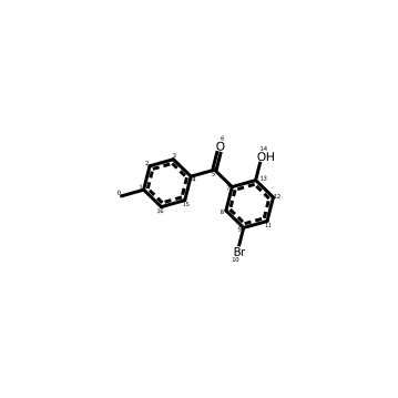 Cc1ccc(C(=O)c2cc(Br)ccc2O)cc1